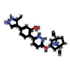 Cc1n[nH]cc1-c1ccc(-c2ccc(O[C@@H]3C[C@H]4CC[C@@H](C3)N4)nn2)c(O)c1